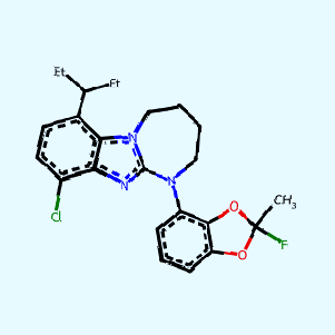 CCC(CC)c1ccc(Cl)c2nc3n(c12)CCCCN3c1cccc2c1OC(C)(F)O2